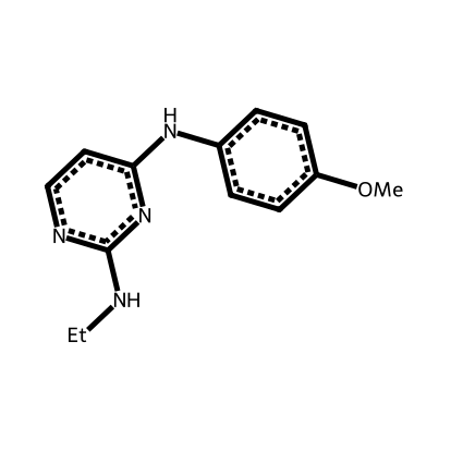 CCNc1nccc(Nc2ccc(OC)cc2)n1